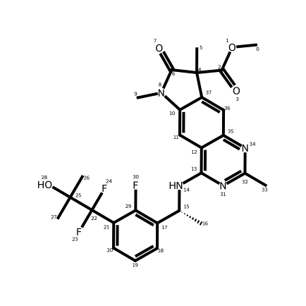 COC(=O)C1(C)C(=O)N(C)c2cc3c(N[C@H](C)c4cccc(C(F)(F)C(C)(C)O)c4F)nc(C)nc3cc21